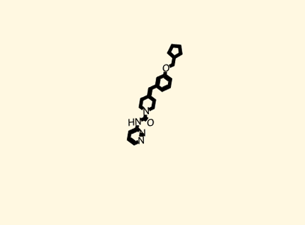 O=C(Nc1cccnn1)N1CCC(=Cc2cccc(OCC3CCCC3)c2)CC1